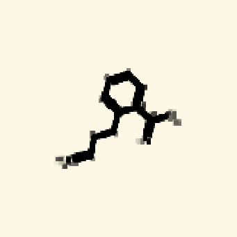 C=CCCc1ccccc1C(O)=S